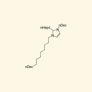 CCCCCCCCCCCCCCCCCCN1C=CN(CCCCCCCCCC)C1CCCCCCC